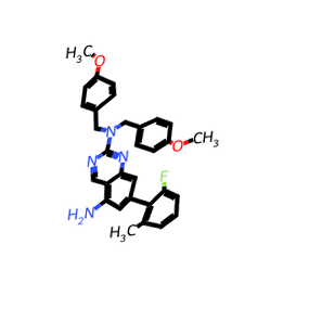 COc1ccc(CN(Cc2ccc(OC)cc2)c2ncc3c(N)cc(-c4c(C)cccc4F)cc3n2)cc1